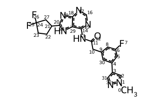 Cn1cc(-c2cc(F)cc(CC(=O)Nc3ncnc4nc(C5CCC(F)(F)C5)[nH]c34)c2)cn1